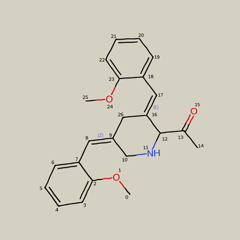 COc1ccccc1/C=C1\CNC(C(C)=O)/C(=C/c2ccccc2OC)C1